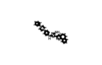 Nc1nc(Nc2ccc(N3CCN(C4CC5CCC4C5)CC3)cc2)nn1-c1cc2c(nn1)-c1ccccc1CCC2